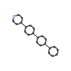 c1ccc(-c2ccc(-c3ccc(-c4ccncc4)cc3)cc2)cc1